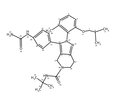 Cc1cccc(OCC(C)C)c1-n1nc2c(c1-c1ccc(NC(N)=O)cc1)CN(C(=O)NC(C)(C)C)CC2